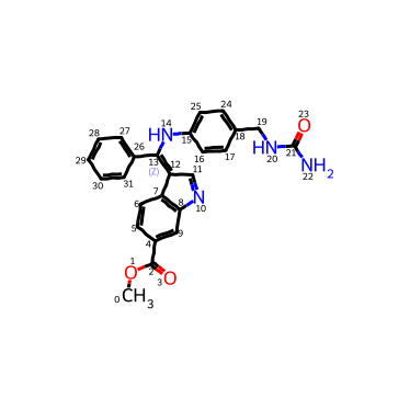 COC(=O)c1ccc2c(c1)N=C/C2=C(\Nc1ccc(CNC(N)=O)cc1)c1ccccc1